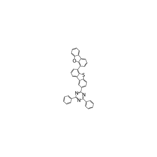 c1ccc(-c2nc(-c3ccccc3)nc(-c3ccc4sc5c(-c6cccc7c6oc6ccccc67)cccc5c4c3)n2)cc1